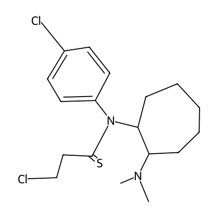 CN(C)C1CCCCCC1N(C(=S)CCCl)c1ccc(Cl)cc1